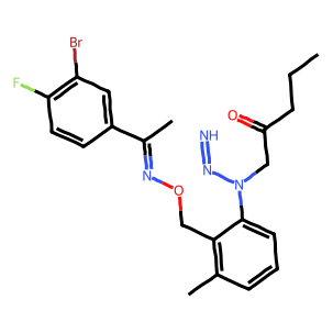 CCCC(=O)CN(N=N)c1cccc(C)c1CON=C(C)c1ccc(F)c(Br)c1